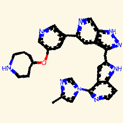 Cc1cn(-c2nccc3[nH]c(-c4n[nH]c5cnc(-c6cncc(OC7CCNCC7)c6)cc45)cc23)cn1